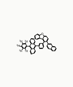 [2H]c1c([2H])c([2H])c(-c2c3ccccc3c(-c3cccc(-c4c(-c5ccc6ccccc6c5)ccc5oc6ccccc6c45)c3)c3ccccc23)c([2H])c1[2H]